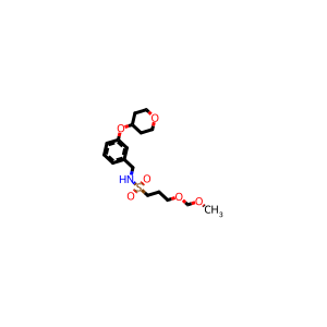 COCOCCCS(=O)(=O)NCc1cccc(OC2CCOCC2)c1